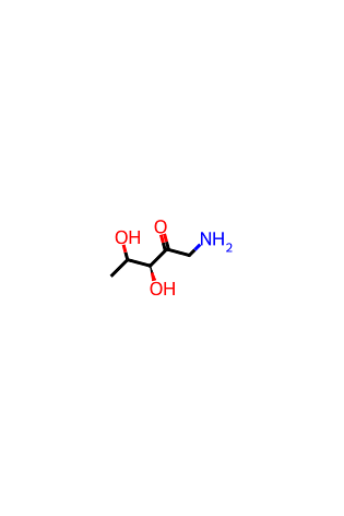 CC(O)[C@H](O)C(=O)CN